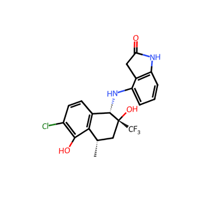 C[C@H]1C[C@](O)(C(F)(F)F)[C@@H](Nc2cccc3c2CC(=O)N3)c2ccc(Cl)c(O)c21